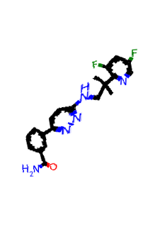 CC(C)(CNc1ccc(-c2cccc(C(N)=O)c2)nn1)c1ncc(F)cc1F